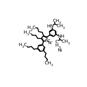 CCCCC1=C(c2cc(CCCC)cc(CCCC)c2)[N+](=[N-])C(c2cc(NC(C)C)cc(NC(C)C)c2)=C1CCCC.[Ni]